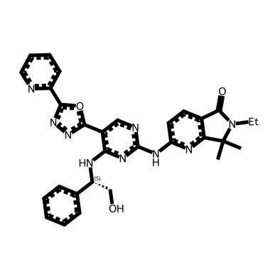 CCN1C(=O)c2ccc(Nc3ncc(-c4nnc(-c5ccccn5)o4)c(N[C@H](CO)c4ccccc4)n3)nc2C1(C)C